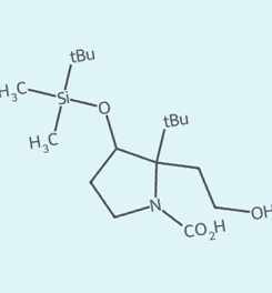 CC(C)(C)C1(CCO)C(O[Si](C)(C)C(C)(C)C)CCN1C(=O)O